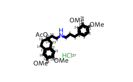 COc1ccc(CCCNCCC2(OC(C)=O)CCc3cc(OC)c(OC)cc3C2)cc1OC.Cl